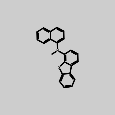 IN(c1cccc2ccccc12)c1cccc2c1sc1ccccc12